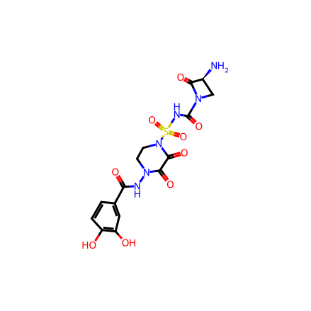 N[C@H]1CN(C(=O)NS(=O)(=O)N2CCN(NC(=O)c3ccc(O)c(O)c3)C(=O)C2=O)C1=O